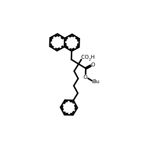 CCC(C)OC(=O)C(CCCCc1ccccc1)(Cc1cccc2ccccc12)C(=O)O